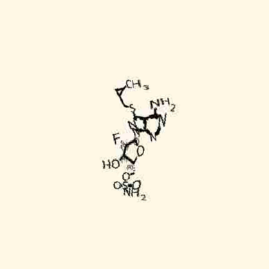 CC1CC1CSc1nn([C@@H]2O[C@H](COS(N)(=O)=O)[C@@H](O)[C@@H]2F)c2ncnc(N)c12